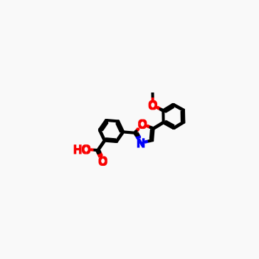 COc1ccccc1-c1cnc(-c2cccc(C(=O)O)c2)o1